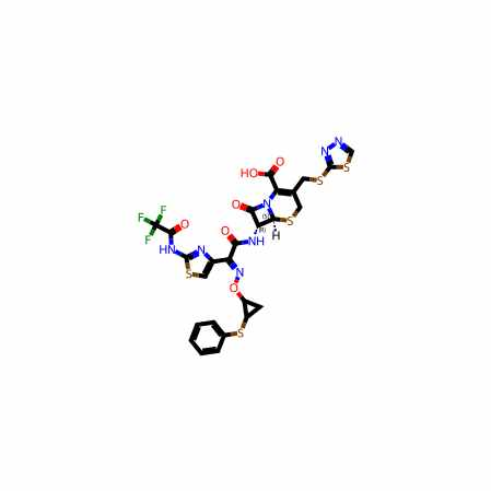 O=C(O)C1=C(CSc2nncs2)CS[C@H]2[C@H](NC(=O)C(=NOC3CC3Sc3ccccc3)c3csc(NC(=O)C(F)(F)F)n3)C(=O)N12